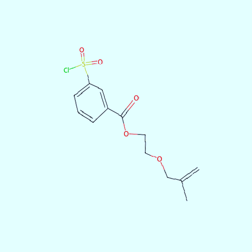 C=C(C)COCCOC(=O)c1cccc(S(=O)(=O)Cl)c1